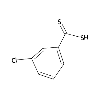 S=C(S)c1cccc(Cl)c1